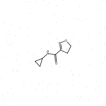 O=C(NC1CC1)C1=NOCC1